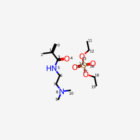 C=C(C)C(=O)NCCN(C)C.CCOS(=O)(=O)OCC